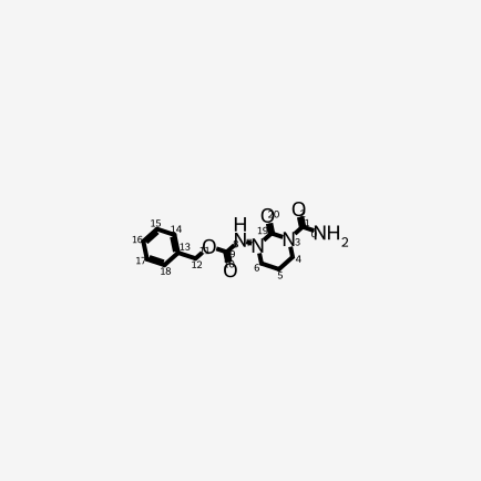 NC(=O)N1CCCN(NC(=O)OCc2ccccc2)C1=O